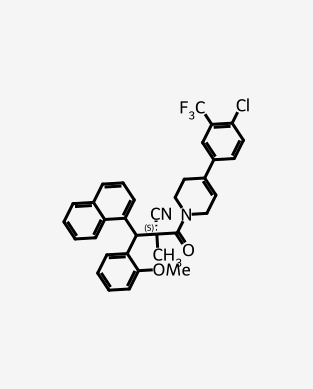 COc1ccccc1C(c1cccc2ccccc12)[C@@](C)(C#N)C(=O)N1CC=C(c2ccc(Cl)c(C(F)(F)F)c2)CC1